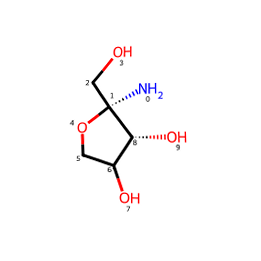 N[C@@]1(CO)OC[C](O)[C@H]1O